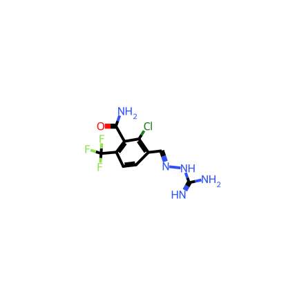 N=C(N)NN=Cc1ccc(C(F)(F)F)c(C(N)=O)c1Cl